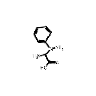 NC(C(=O)O)N(N)c1ccccc1